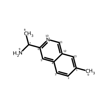 Cc1ccc2cc(C(C)N)ncc2c1